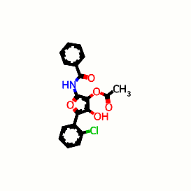 CC(=O)Oc1c(NC(=O)c2ccccc2)oc(-c2ccccc2Cl)c1O